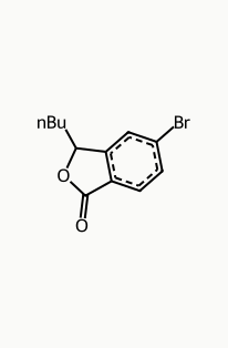 CCCCC1OC(=O)c2ccc(Br)cc21